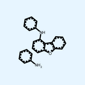 Nc1ccccc1.c1ccc(Nc2cccc3oc4ccccc4c23)cc1